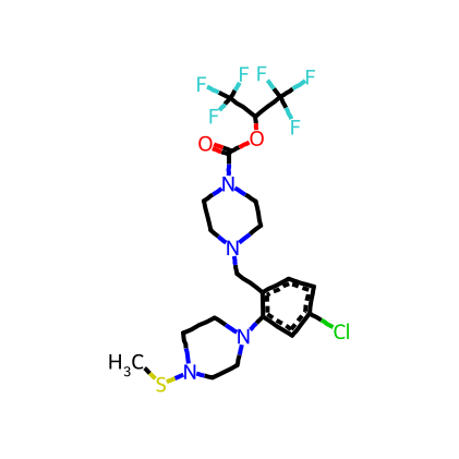 CSN1CCN(c2cc(Cl)ccc2CN2CCN(C(=O)OC(C(F)(F)F)C(F)(F)F)CC2)CC1